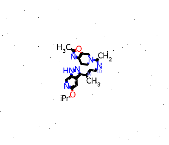 C=C(/N=C\C=C(/C)c1n[nH]c2cnc(OC(C)C)cc12)N1CCc2nc(C)oc2C1